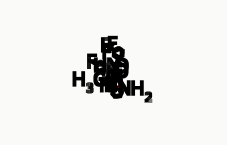 Cc1nn(-c2ccccc2)c2c1[C@H](c1ccc(F)cc1)[C@H](NC(=O)c1cccc(C(F)(F)F)c1)C(=O)N2CCN